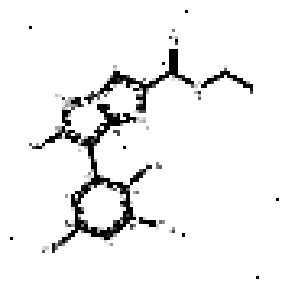 CCOC(=O)c1cn2nc(C)c(-c3cc(F)cc(F)c3F)c2s1